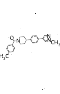 Cc1ccc(C(=O)N2CCC(c3ccc(-c4cnn(C)c4)cc3)CC2)cc1